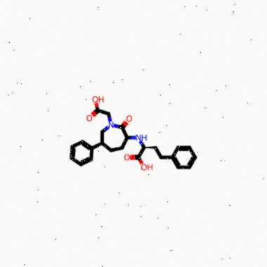 O=C(O)CN1CC(c2ccccc2)CCC(N[C@@H](CCc2ccccc2)C(=O)O)C1=O